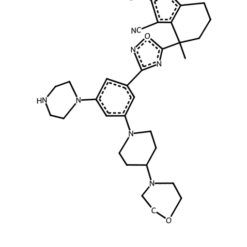 CC1(c2nc(-c3cc(N4CCNCC4)cc(N4CCC(N5CCOCC5)CC4)c3)no2)CCCc2sc(N)c(C#N)c21